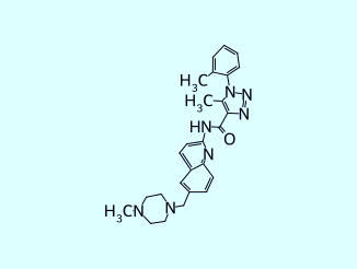 Cc1ccccc1-n1nnc(C(=O)Nc2ccc3cc(CN4CCN(C)CC4)ccc3n2)c1C